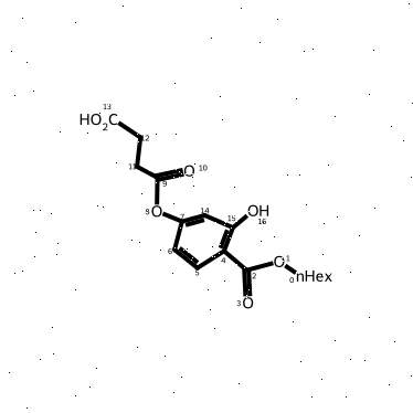 CCCCCCOC(=O)c1ccc(OC(=O)CCC(=O)O)cc1O